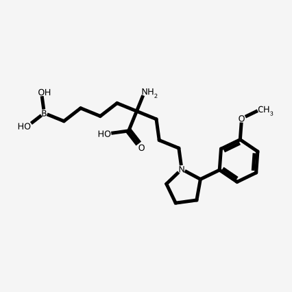 COc1cccc(C2CCCN2CCCC(N)(CCCCB(O)O)C(=O)O)c1